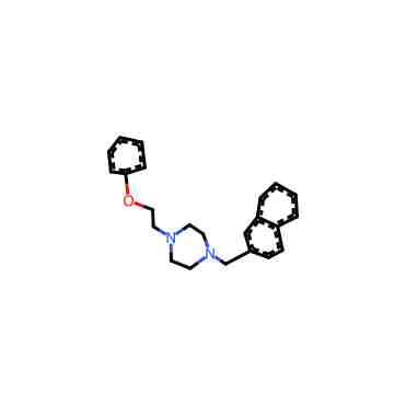 c1ccc(OCCN2CCN(Cc3ccc4ccccc4c3)CC2)cc1